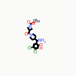 CC(C)(C)OC(=O)N1CC(C(=O)N2CCC([C@@H](N)c3cc(Cl)c(Cl)cc3O)CC2)C1